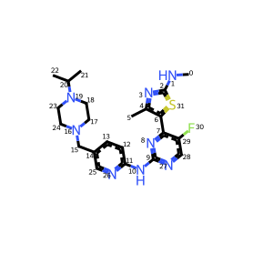 CNc1nc(C)c(-c2nc(Nc3ccc(CN4CCN(C(C)C)CC4)cn3)ncc2F)s1